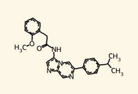 COc1ccccc1CC(=O)Nc1cnc2cnc(-c3ccc(C(C)C)cc3)cn12